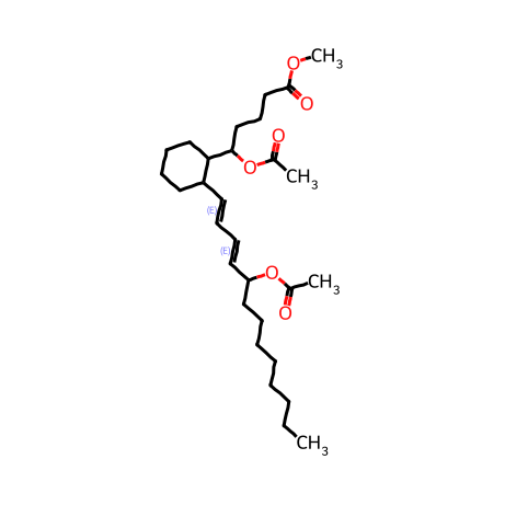 CCCCCCCCC(/C=C/C=C/C1CCCCC1C(CCCC(=O)OC)OC(C)=O)OC(C)=O